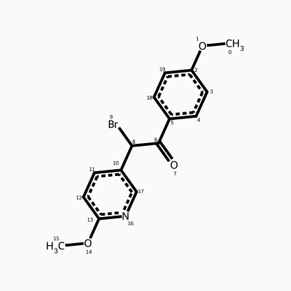 COc1ccc(C(=O)C(Br)c2ccc(OC)nc2)cc1